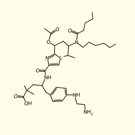 CCCCCCN(C(=O)CCCC)C(CC(OC(C)=O)c1nc(C(=O)NC(Cc2ccc(NCCN)cc2)CC(C)(C)C(=O)O)cs1)C(C)C